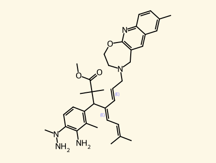 COC(=O)C(C)(C)C(C(/C=C/CN1CCOc2nc3ccc(C)cc3cc2C1)=C/C=C(C)C)c1ccc(N(C)N)c(N)c1C